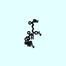 CCC(C)C(=O)/C=C/CC[C@@H](C)NC(=O)c1coc(S(N)(=O)=O)c1